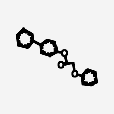 O=C(COc1ccccc1)Oc1ccc(-c2ccccc2)cc1